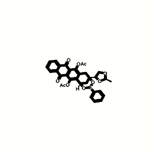 CC(=O)Oc1c2c(c(OC(C)=O)c3c1C(=O)c1ccccc1C3=O)[C@H]1CC([C@H]3CO[C@@H](C)O3)(C2)OB(c2ccccc2)O1